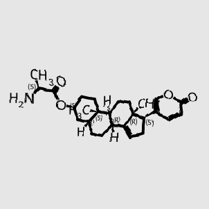 C[C@H](N)C(=O)O[C@H]1CC[C@@]2(C)[C@H](CC[C@H]3C4=CC[C@H](c5ccc(=O)oc5)[C@@]4(C)CC[C@@H]32)C1